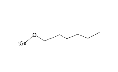 CCCCCC[O][Ge]